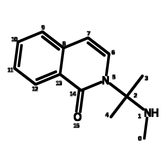 CNC(C)(C)n1ccc2ccccc2c1=O